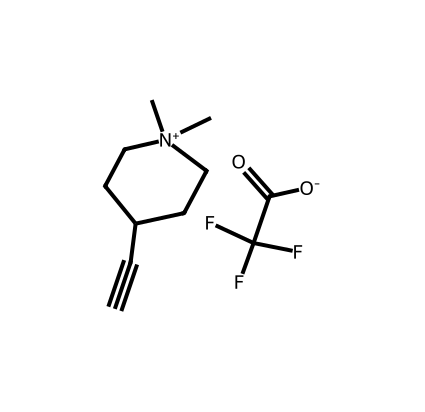 C#CC1CC[N+](C)(C)CC1.O=C([O-])C(F)(F)F